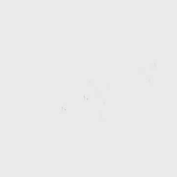 C[C@@H]1CN(c2ccc(F)cc2)CCN1S(=O)(=O)c1ccc([C@](C)(O)C(F)(F)F)cc1